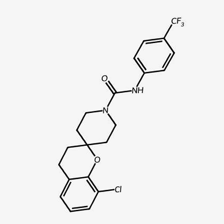 O=C(Nc1ccc(C(F)(F)F)cc1)N1CCC2(CCc3cccc(Cl)c3O2)CC1